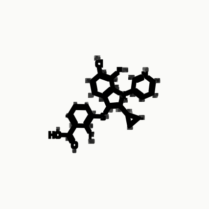 O=C(O)c1cccc(Sc2c(C3CC3)n(-c3cccnc3)c3c(F)c(Cl)ccc23)c1F